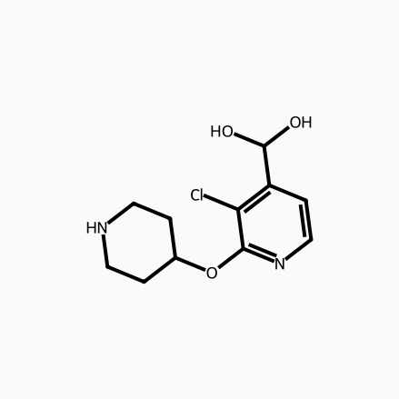 OC(O)c1ccnc(OC2CCNCC2)c1Cl